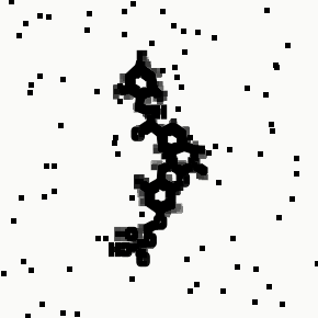 CC1c2ccc(C(=O)NCc3c(F)cc(F)cc3F)cc2N(Cc2c(F)cc(OCOP(=O)(O)O)cc2F)C(=O)N1C